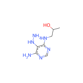 CC(O)CNc1ncnc(N)c1NN